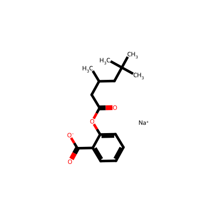 CC(CC(=O)Oc1ccccc1C(=O)[O-])CC(C)(C)C.[Na+]